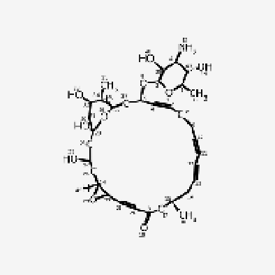 CC1O[C@@H](O[C@H]2/C=C/CC/C=C/C=C/C[C@@H](C)OC(=O)/C=C/C3O[C@@H]3CC(O)C[C@]3(O)CC(O)[C@@H](C)[C@H](C2)O3)C(O)C(N)[C@@H]1O